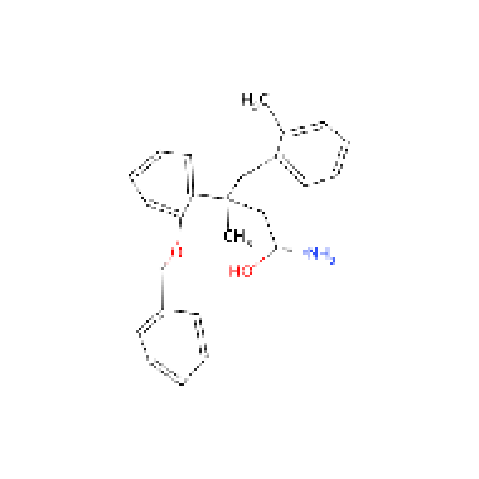 Cc1ccccc1CC(C)(C[C@H](N)O)c1ccccc1OCc1ccccc1